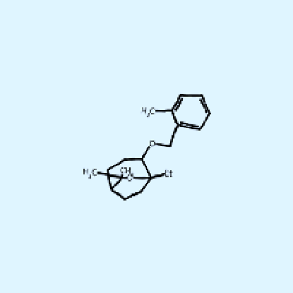 CCC12CCC(CCC1OCc1ccccc1C)C(C)(C)O2